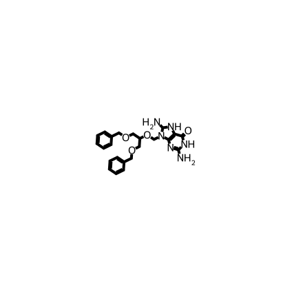 Nc1nc2c(c(=O)[nH]1)NC(N)N2COC(COCc1ccccc1)COCc1ccccc1